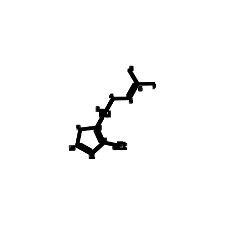 CCC1=[C]([Ru][CH2]C=C(C)C)CC=C1